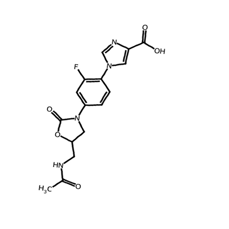 CC(=O)NCC1CN(c2ccc(-n3cnc(C(=O)O)c3)c(F)c2)C(=O)O1